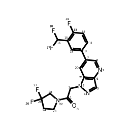 O=C(Cn1ncc2ncc(-c3ccc(F)c(C(F)F)c3)cc21)N1CCC(F)(F)C1